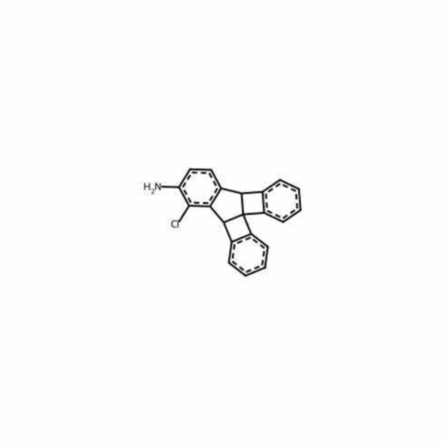 Nc1ccc2c(c1Cl)C1c3ccccc3C13c1ccccc1C23